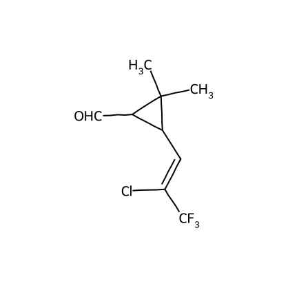 CC1(C)C(C=O)C1C=C(Cl)C(F)(F)F